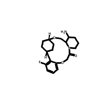 NC1CCCN2C(=O)COc3cccc(F)c3[C@H]3CC[C@H](CC3)OCC12